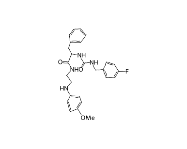 COc1ccc(NCCNC(=O)C(Cc2ccccc2)NC(=O)NCc2ccc(F)cc2)cc1